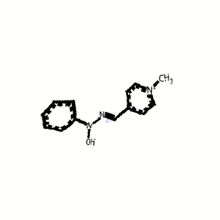 C[n+]1ccc(/C=N/N(O)c2ccccc2)cc1